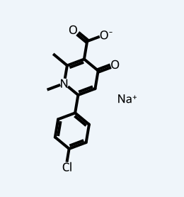 Cc1c(C(=O)[O-])c(=O)cc(-c2ccc(Cl)cc2)n1C.[Na+]